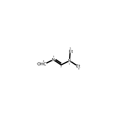 CCN(C=N[C]=O)CC